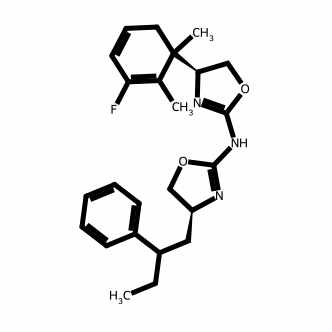 CCC(C[C@H]1COC(NC2=N[C@@H](C3(C)CC=CC(F)=C3C)CO2)=N1)c1ccccc1